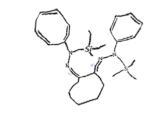 C[Si](C)(C)N(/N=C1/CCCC/C1=N\N(c1ccccc1)[Si](C)(C)C)c1ccccc1